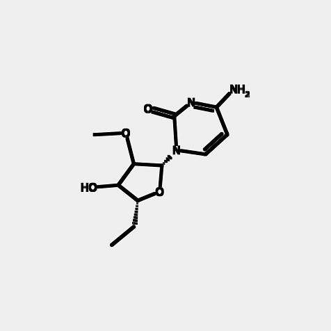 CC[C@H]1O[C@@H](n2ccc(N)nc2=O)C(OC)C1O